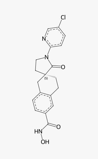 O=C(NO)c1ccc2c(c1)CC[C@@]1(CCN(c3ccc(Cl)cn3)C1=O)C2